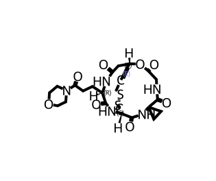 O=C1C[C@H]2/C=C/CCSSC[C@@H](NC(=O)[C@@H](CCC(=O)N3CCOCC3)N1)C(=O)NC1(CC1)C(=O)NCC(=O)O2